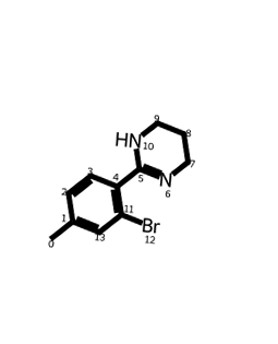 Cc1ccc(C2=NCCCN2)c(Br)c1